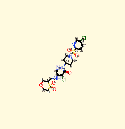 O=c1c(Cl)c(NCC2COCCS2(=O)=O)cnn1C1CCN(S(=O)(=O)c2ccc(Cl)cn2)CC1